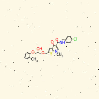 Cc1ccccc1OC[C@H](O)COCc1cc2c(=O)c(C(=O)NCc3ccc(Cl)cc3)cn(C)c2s1